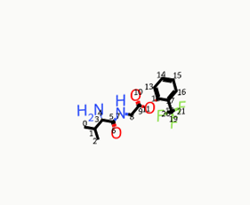 CC(C)[C@H](N)C(=O)NCC(=O)Oc1ccccc1C(F)(F)F